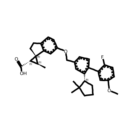 COc1ccc(F)c(-c2ccc(COc3ccc4c(c3)[C@]3(CC4)[C@@H](C)[C@@H]3C(=O)O)cc2[C@@H]2CCCC2(C)C)c1